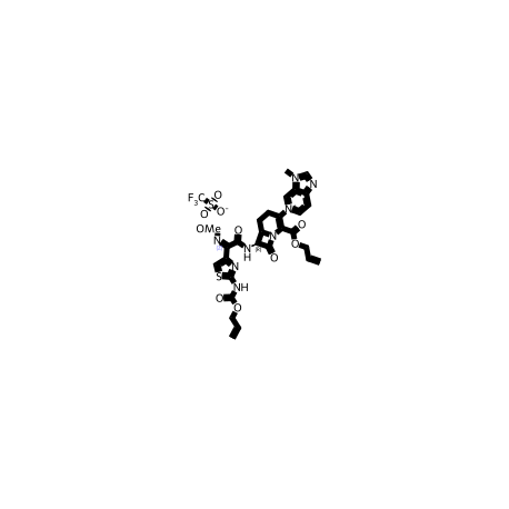 C=CCOC(=O)Nc1nc(/C(=N/OC)C(=O)N[C@H]2C(=O)N3C(C(=O)OCC=C)=C([n+]4ccc5ncn(C)c5c4)CCC23)cs1.O=S(=O)([O-])C(F)(F)F